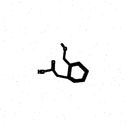 COCc1ccccc1CC(=O)O